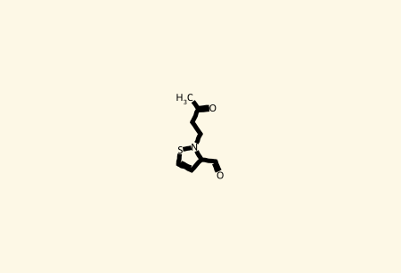 CC(=O)CCN1SC=CC1C=O